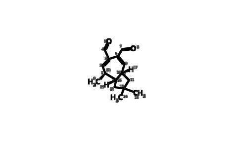 C[C@H]1C=C(C=O)C(C=O)=C[C@@H]2CC(C)(C)C[C@@H]21